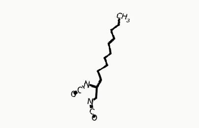 CCCCCCCCCCC(CN=C=O)N=C=O